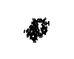 CC(=O)NCc1cccc(Cn2nc(NS(=O)(=O)c3ccc(Cl)s3)c3c(C(C)O)cccc32)c1